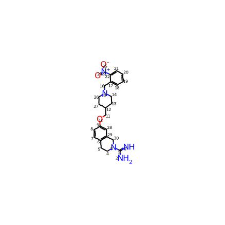 N=C(N)N1CCc2ccc(OCC3CCN(Cc4ccccc4[N+](=O)[O-])CC3)cc2C1